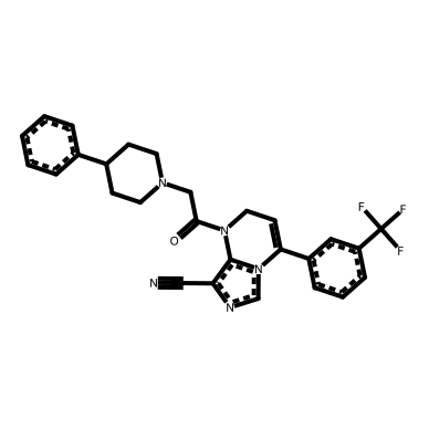 N#Cc1ncn2c1N(C(=O)CN1CCC(c3ccccc3)CC1)CC=C2c1cccc(C(F)(F)F)c1